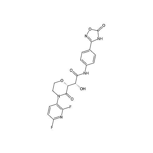 O=C(Nc1ccc(-c2noc(=O)[nH]2)cc1)[C@H](O)[C@H]1OCCN(c2ccc(F)nc2F)C1=O